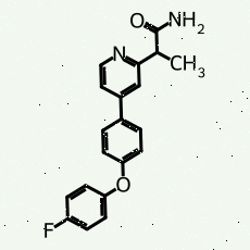 CC(C(N)=O)c1cc(-c2ccc(Oc3ccc(F)cc3)cc2)ccn1